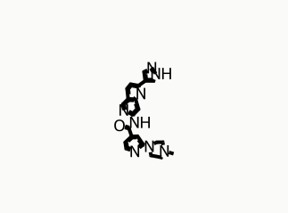 CN1CCN(c2cc(C(=O)Nc3cc4nc(-c5cn[nH]c5)ccc4cn3)ccn2)CC1